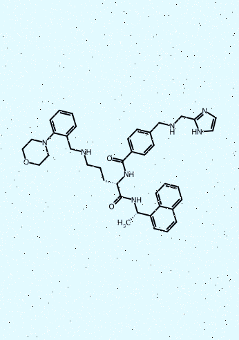 C[C@H](NC(=O)[C@H](CCCNCc1ccccc1N1CCOCC1)NC(=O)c1ccc(CNCc2ncc[nH]2)cc1)c1cccc2ccccc12